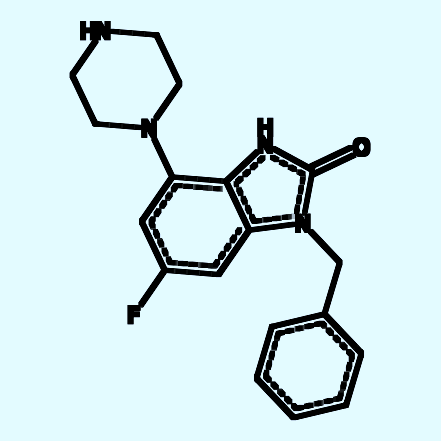 O=c1[nH]c2c(N3CCNCC3)cc(F)cc2n1Cc1ccccc1